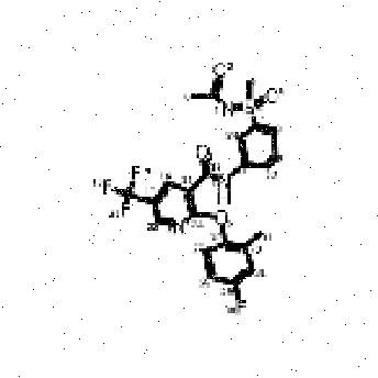 CC(=O)N=S(C)(=O)c1cccc(NC(=O)c2cc(C(F)(F)F)cnc2Oc2ccc(F)cc2C)c1